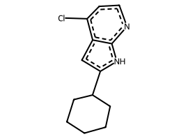 Clc1ccnc2[nH]c(C3CCCCC3)cc12